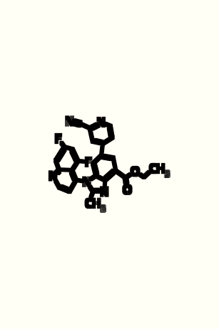 CCOC(=O)c1cc(-c2ccnc(C#N)c2)cc2c1nc(C)n2-c1ccnc2cc(F)cc(F)c12